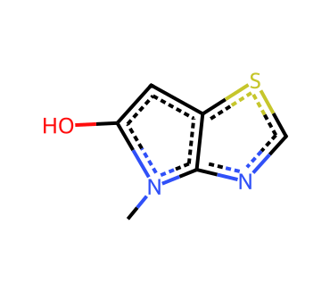 Cn1c(O)cc2scnc21